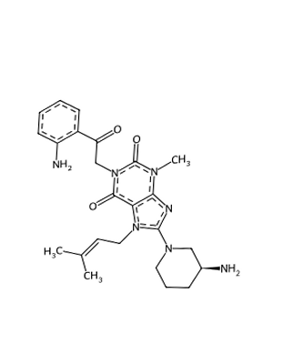 CC(C)=CCn1c(N2CCC[C@H](N)C2)nc2c1c(=O)n(CC(=O)c1ccccc1N)c(=O)n2C